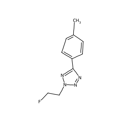 Cc1ccc(-c2nnn(CCF)n2)cc1